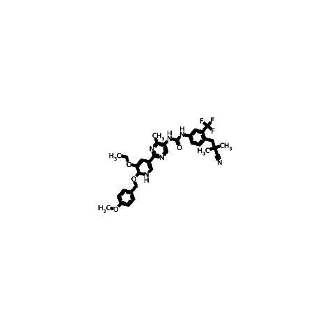 CCOC1=CC(c2ncc(NC(=O)Nc3ccc(CC(C)(C)C#N)c(C(F)(F)F)c3)c(C)n2)=CNC1OCc1ccc(OC)cc1